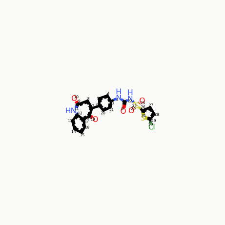 O=C(Nc1ccc(-c2cc(=O)[nH]c3ccccc3c2=O)cc1)NS(=O)(=O)c1ccc(Cl)s1